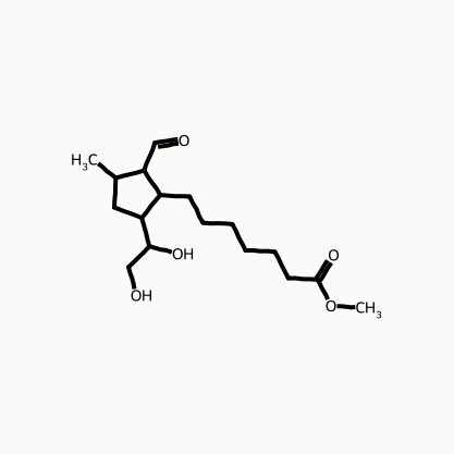 COC(=O)CCCCCCC1C(C=O)C(C)CC1C(O)CO